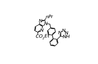 CCCc1nc2ccc(C(=O)OCC)nc2n1Cc1ccc(-c2ccccc2-c2nnn[nH]2)cc1